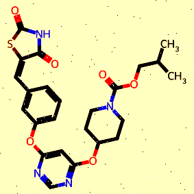 CC(C)COC(=O)N1CCC(Oc2cc(Oc3cccc(C=C4SC(=O)NC4=O)c3)ncn2)CC1